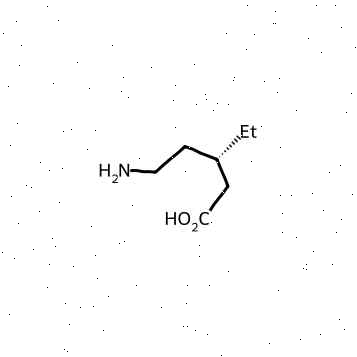 CC[C@@H](CCN)CC(=O)O